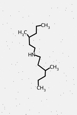 CCCC(C)CCNCCC(C)CCC